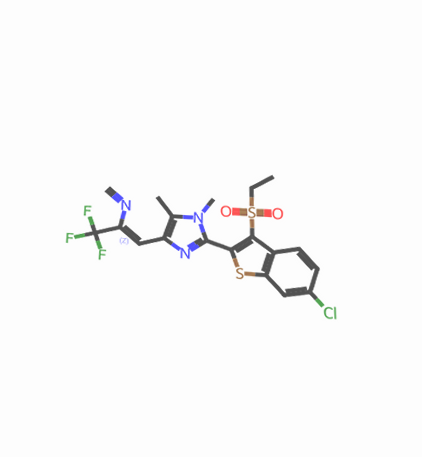 C=N/C(=C\c1nc(-c2sc3cc(Cl)ccc3c2S(=O)(=O)CC)n(C)c1C)C(F)(F)F